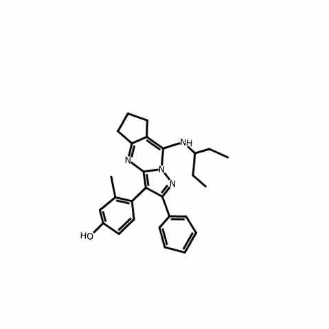 CCC(CC)Nc1c2c(nc3c(-c4ccc(O)cc4C)c(-c4ccccc4)nn13)CCC2